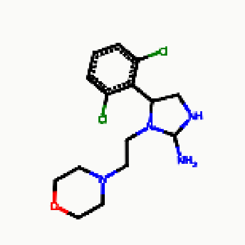 NC1NCC(c2c(Cl)cccc2Cl)N1CCN1CCOCC1